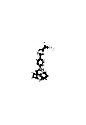 NC(=O)C1CN=C(c2ccc(NCC3(c4ncccc4F)CCC3)nn2)S1